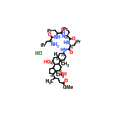 COC(=O)CCC(C)[C@H]1CCC2C3C(C[C@H](O)[C@@]21C)[C@@]1(C)CC[C@H](NC(=O)[C@H](CC(C)C)NC(=O)[C@H](CC(C)C)NC(=O)[C@H](CC(C)C)NC(=O)[C@@H](N)CC(C)C)C[C@H]1C[C@H]3O.Cl